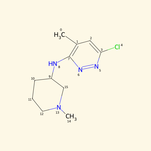 Cc1cc(Cl)nnc1NC1CCCN(C)C1